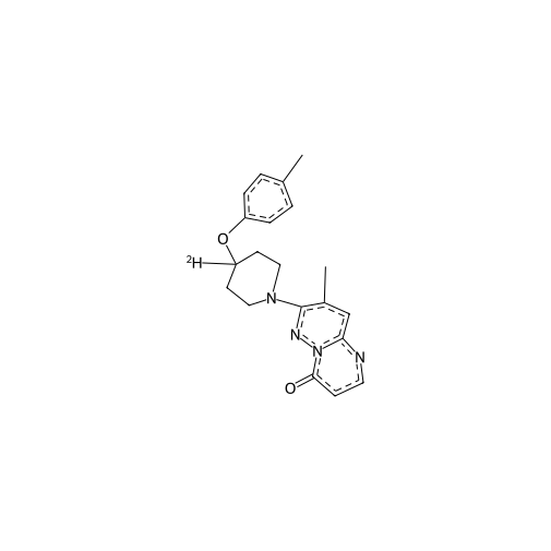 [2H]C1(Oc2ccc(C)cc2)CCN(c2nn3c(=O)ccnc3cc2C)CC1